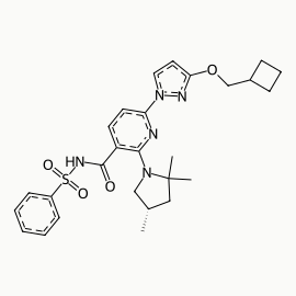 C[C@@H]1CN(c2nc(-n3ccc(OCC4CCC4)n3)ccc2C(=O)NS(=O)(=O)c2ccccc2)C(C)(C)C1